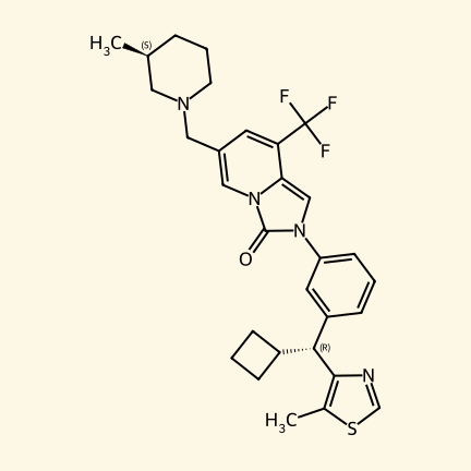 Cc1scnc1[C@@H](c1cccc(-n2cc3c(C(F)(F)F)cc(CN4CCC[C@H](C)C4)cn3c2=O)c1)C1CCC1